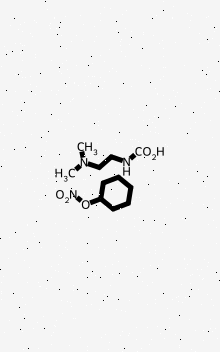 CN(C)CCNC(=O)O.O=[N+]([O-])OC1CCCCC1